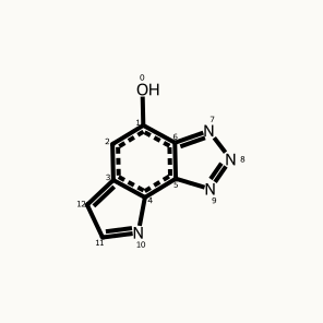 Oc1cc2c(c3c1=NN=N3)N=CC=2